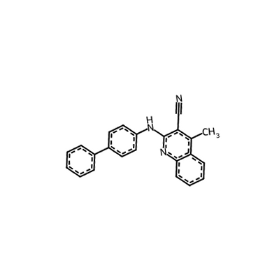 Cc1c(C#N)c(Nc2ccc(-c3ccccc3)cc2)nc2ccccc12